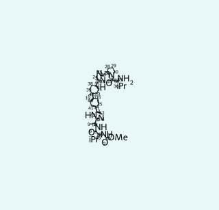 COC(=O)N[C@H](C(=O)N[C@@H](C)c1ncc(-c2ccc(C3(C)CC=C(c4cnc([C@@H]5CCCN5C(=O)[C@@H](N)C(C)C)[nH]4)CC3)cc2)[nH]1)C(C)C